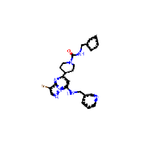 O=C(NCc1ccccc1)N1CCC(c2cc(NCc3cccnc3)n3ncc(Br)c3n2)CC1